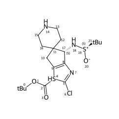 CC(C)(C)OC(=O)[SH]1C(Cl)=NC2=C1CC1(CCNCC1)[C@@H]2N[S@+]([O-])C(C)(C)C